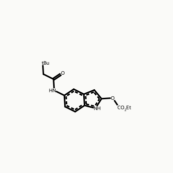 CCOC(=O)Oc1cc2cc(NC(=O)CC(C)(C)C)ccc2[nH]1